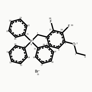 CCOc1ccc(C[P+](c2ccccc2)(c2ccccc2)c2ccccc2)c(F)c1F.[Br-]